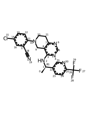 C[C@@H](Nc1ncnc2c1CN(c1ccc(Cl)cc1C#N)CC2)c1ccc(C(F)(F)F)nc1